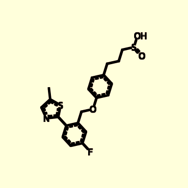 Cc1cnc(-c2ccc(F)cc2COc2ccc(CCCS(=O)O)cc2)s1